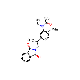 COc1ccc(C(C=O)CN2C(=O)c3ccccc3C2=O)cc1N(CC(C)C)C(=O)C(C)(C)C